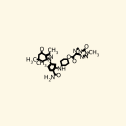 Cc1nn(-c2ccc(C(N)=O)c(NC3CCC(OC(=O)c4ncn5c(=O)n(C)nnc45)CC3)c2)c2c1C(=O)CC(C)(C)C2